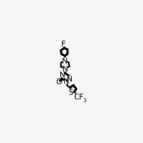 O=c1nc(N2CCN(c3ccc(F)cc3)CC2)cnn1Cc1ccc(C(F)(F)F)s1